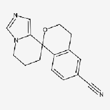 N#Cc1ccc2c(c1)CCOC21CCCn2cncc21